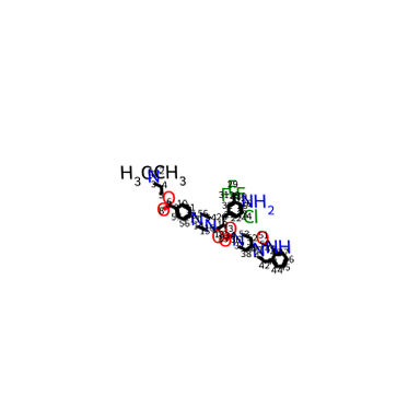 CN(C)CCCOC(=O)c1ccc(N2CCN(C(=O)[C@@H](Cc3cc(Cl)c(N)c(C(F)(F)F)c3)OC(=O)N3CCC(N4CCc5ccccc5NC4=O)CC3)CC2)cc1